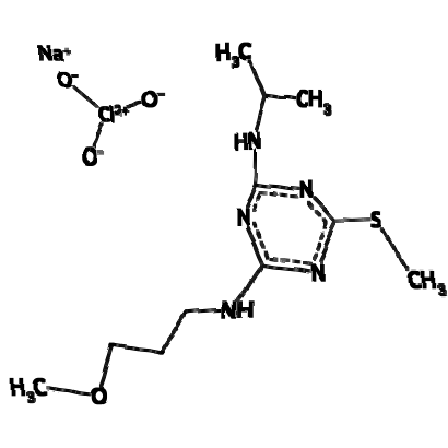 COCCCNc1nc(NC(C)C)nc(SC)n1.[Na+].[O-][Cl+2]([O-])[O-]